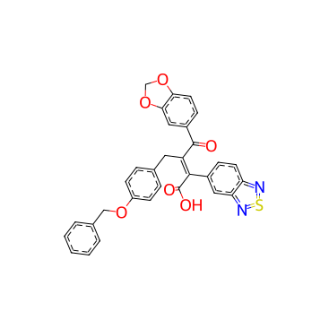 O=C(O)/C(=C(\Cc1ccc(OCc2ccccc2)cc1)C(=O)c1ccc2c(c1)OCO2)c1ccc2nsnc2c1